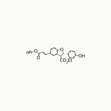 CCCOC(=O)/C=C/c1ccc2c(c1)[C@H](C(=O)OCC)[C@@H](c1ccc(O)cc1)O2